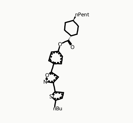 CCCCC[C@H]1CC[C@H](C(=O)Oc2ccc(-c3cc(-c4ccc(CCCC)s4)no3)cc2)CC1